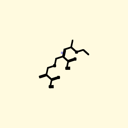 C=C(COC/C(=C/C(C)OCC)C(=O)O)C(=O)O